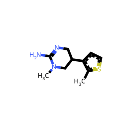 Cc1sccc1C1CN=C(N)N(C)C1